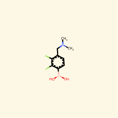 CN(C)Cc1ccc(B(O)O)c(F)c1F